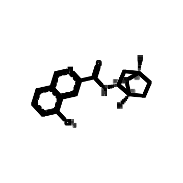 Cc1cccc2cnc(C(=O)N[C@@H]3C[C@H]4CC[C@@H]3N4)cc12